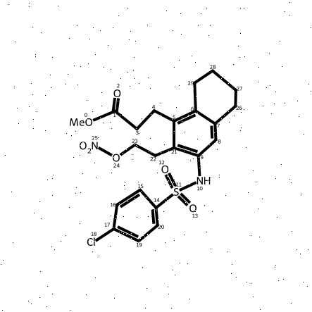 COC(=O)CCc1c2c(cc(NS(=O)(=O)c3ccc(Cl)cc3)c1CCO[N+](=O)[O-])CCCC2